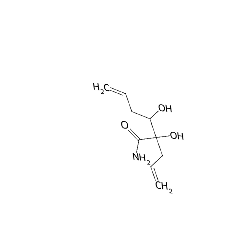 C=CCC(O)C(O)(CC=C)C(N)=O